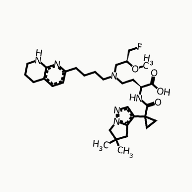 CO[C@H](CF)CN(CCCCc1ccc2c(n1)NCCC2)CC[C@H](NC(=O)C1(c2cnn3c2CC(C)(C)C3)CC1)C(=O)O